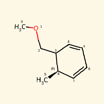 COCC1C=CC=C[C@H]1C